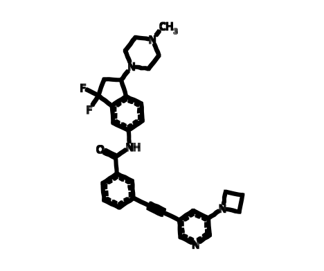 CN1CCN(C2CC(F)(F)c3cc(NC(=O)c4cccc(C#Cc5cncc(N6CCC6)c5)c4)ccc32)CC1